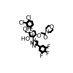 O=C(CO[C@H]1C[SH](c2ccc(Cl)c(Cl)c2)[C@H](CO)[C@H](O)[C@@H]1n1cc(-c2cc(F)c(F)c(F)c2)nn1)N1CCOCC1